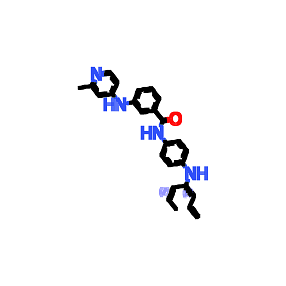 C=C/C=C(\C=C/C)Nc1ccc(NC(=O)c2cccc(Nc3ccnc(C)c3)c2)cc1